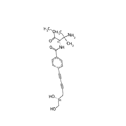 COC(=O)[C@@H](NC(=O)c1ccc(C#CC#CC[C@@H](O)CO)cc1)C(C)(C)N